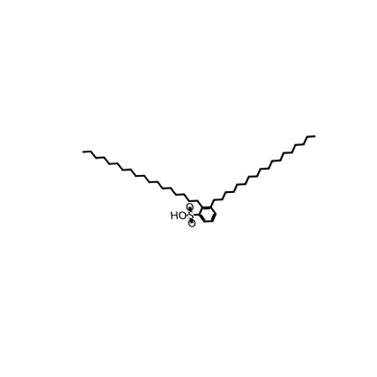 CCCCCCCCCCCCCCCCCCc1cccc(S(=O)(=O)O)c1CCCCCCCCCCCCCCCCCC